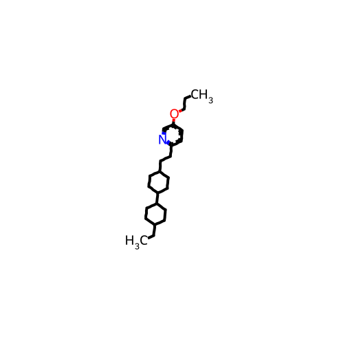 CCCOc1ccc(CCC2CCC(C3CCC(CC)CC3)CC2)nc1